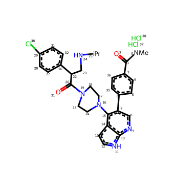 CNC(=O)c1ccc(-c2cnc3[nH]ccc3c2N2CCN(C(=O)C(CNC(C)C)c3ccc(Cl)cc3)CC2)cc1.Cl.Cl